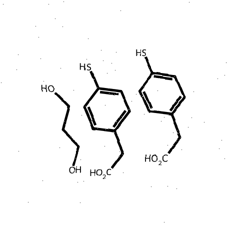 O=C(O)Cc1ccc(S)cc1.O=C(O)Cc1ccc(S)cc1.OCCCO